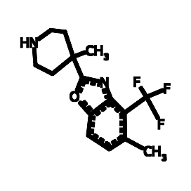 Cc1ccc2oc(C3(C)CCNCC3)nc2c1C(F)(F)F